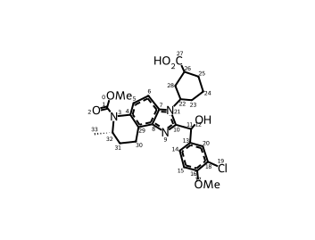 COC(=O)N1c2ccc3c(nc(C(O)c4ccc(OC)c(Cl)c4)n3C3CCCC(C(=O)O)C3)c2CC[C@@H]1C